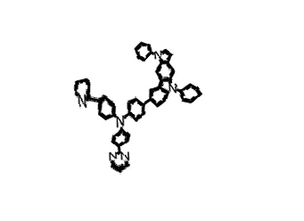 c1ccc(-n2ccc3cc4c(cc32)c2cc(-c3ccc(N(c5ccc(-c6ccccn6)cc5)c5ccc(-c6ncccn6)cc5)cc3)ccc2n4-c2ccccc2)cc1